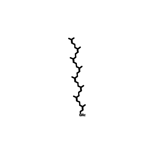 CC(=O)OCC=C(C)CCC=C(C)CCC=C(C)CCC=C(C)CCC=C(C)CCC=C(C)CCC=C(C)CCC=C(C)C